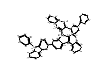 c1ccc(-c2cccc(-c3nc4ccccc4nc3-n3c4cc(-c5ccc6c(c5)c5ccccc5n6-c5ccccc5)ccc4c4c5ccccc5ccc43)c2)cc1